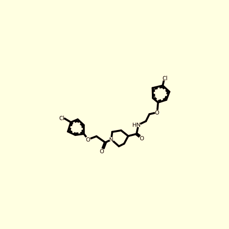 O=C(NCCOc1ccc(Cl)cc1)C1CCN(C(=O)COc2ccc(Cl)cc2)CC1